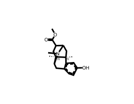 COC(=O)C1C[C@]2(C)C3Cc4ccc(O)cc4[C@]2(C)CC1N3C